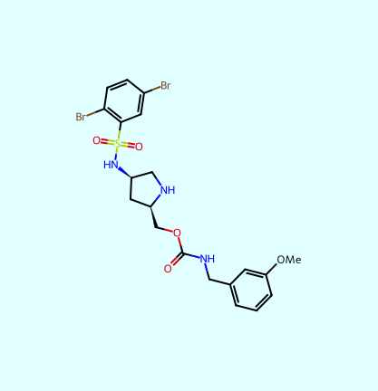 COc1cccc(CNC(=O)OC[C@H]2C[C@@H](NS(=O)(=O)c3cc(Br)ccc3Br)CN2)c1